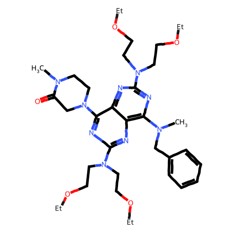 CCOCCN(CCOCC)c1nc(N2CCN(C)C(=O)C2)c2nc(N(CCOCC)CCOCC)nc(N(C)Cc3ccccc3)c2n1